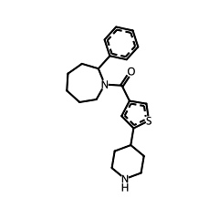 O=C(c1csc(C2CCNCC2)c1)N1CCCCCC1c1ccccc1